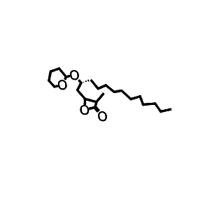 CCCCCCCCCCC[C@H](CC1OC(=O)C1C)OC1CCCCO1